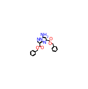 Nc1cc(C(=O)OCc2ccccc2)nc2c(C(=O)OCc3ccccc3)cnn12